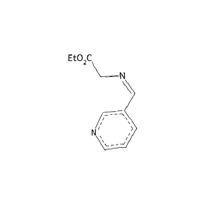 CCOC(=O)C/N=C\c1cccnc1